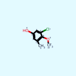 Cc1cc(O)cc(Cl)c1OC(F)(F)F